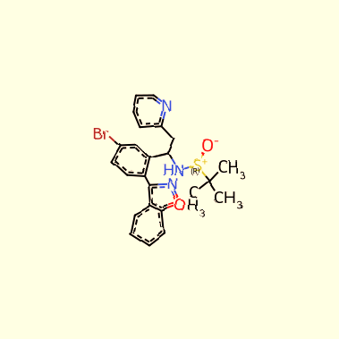 CC(C)(C)[S@+]([O-])NC(Cc1ccccn1)c1cc(Br)ccc1-c1noc2ccccc12